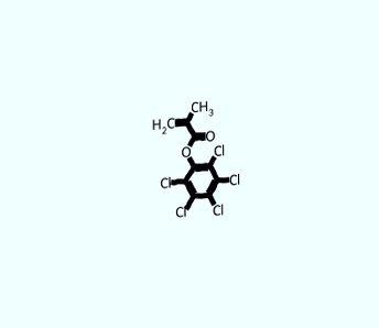 C=C(C)C(=O)Oc1c(Cl)c(Cl)c(Cl)c(Cl)c1Cl